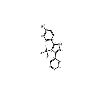 FC(F)(F)c1c(-c2ccccc2)n[nH]c1-c1ccc(Br)cc1